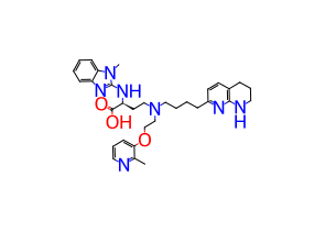 Cc1ncccc1OCCN(CCCCc1ccc2c(n1)NCCC2)CC[C@H](Nc1nc2ccccc2n1C)C(=O)O